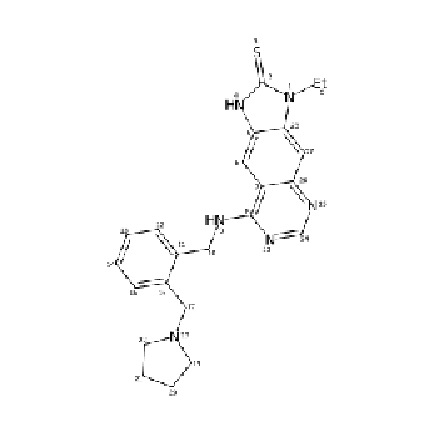 CCn1c(=S)[nH]c2cc3c(NCc4ccccc4CN4CCCC4)ncnc3cc21